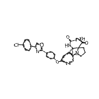 O=C1NC(=O)C2(CCCN2c2ccc(Oc3ccc(-c4nc(-c5ccc(Cl)cc5)co4)cc3)nc2)C(=O)N1